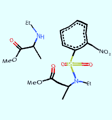 CCN(C(C)C(=O)OC)S(=O)(=O)c1ccccc1[N+](=O)[O-].CCNC(C)C(=O)OC